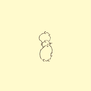 CN1C2CCCCCCCCCCCC(CC2)SC2CCCCCCCCCCCC1CC2